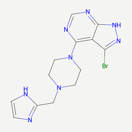 Brc1n[nH]c2ncnc(N3CCN(Cc4ncc[nH]4)CC3)c12